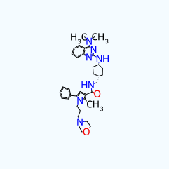 Cc1c(C(=O)NC[C@H]2CC[C@@H](Nc3nc(N(C)C)c4ccccc4n3)CC2)cc(-c2ccccc2)n1CCCN1CCOCC1